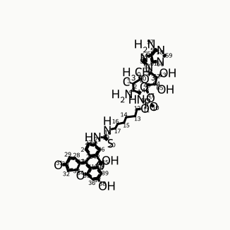 CC[C@H](C)[C@H](N)C(=O)NP(=O)(OCCCCCCNC(=S)Nc1ccc(-c2c3ccc(=O)cc-3oc3cc(O)ccc23)c(C(=O)O)c1)OC[C@H]1O[C@@H](n2cnc3c(N)ncnc32)[C@H](O)[C@@H]1O